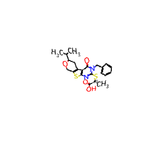 CC(C)C1Cc2c(sc3nc(S[C@H](C)C(=O)O)n(Cc4ccccc4)c(=O)c23)CO1